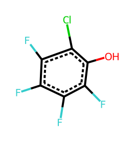 Oc1c(F)c(F)c(F)c(F)c1Cl